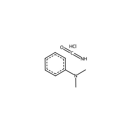 CN(C)c1ccccc1.Cl.N=C=O